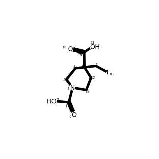 O=C(O)N1CCC(CI)(C(=O)O)CC1